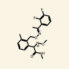 CNC(=O)C(NOC)c1cccc(C)c1CO/N=C(\C)c1cccc(F)c1F